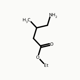 CCOC(=O)CC(C)CN